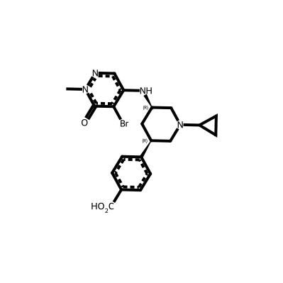 Cn1ncc(N[C@@H]2C[C@H](c3ccc(C(=O)O)cc3)CN(C3CC3)C2)c(Br)c1=O